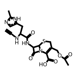 C#CNC(Cc1cnc(C)[nH]1)C(=O)NC1C(=O)N2C(C(=O)O)=C(COC(C)=O)CSC12